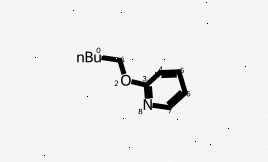 CCCCCOc1[c]cccn1